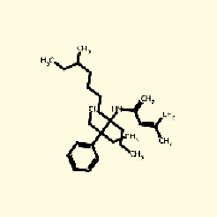 C=C(C=C(C)C)NC(CCC)(CCCCC(C)CC)C(CC)(CC)c1ccccc1